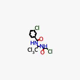 O=C(CCl)NC(NC(=O)c1cccc(Cl)c1)C(Cl)(Cl)Cl